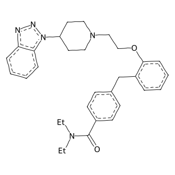 CCN(CC)C(=O)c1ccc(Cc2ccccc2OCCN2CCC(n3nnc4ccccc43)CC2)cc1